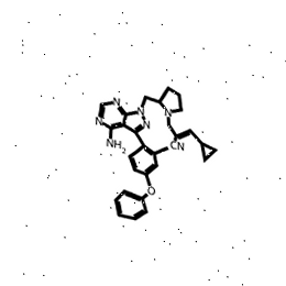 Cc1cc(Oc2ccccc2)ccc1-c1nn(CC2CCCN2CC(C#N)=CC2CC2)c2ncnc(N)c12